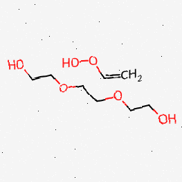 C=COO.OCCOCCOCCO